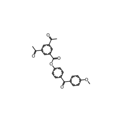 COc1ccc(C(=O)c2ccc(OC(=O)c3cc(C(C)=O)cc(C(C)=O)c3)cc2)cc1